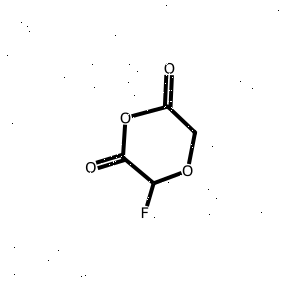 O=C1COC(F)C(=O)O1